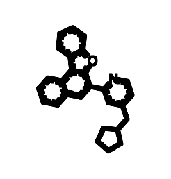 c1ccc2c(c1)cc(-c1cc(CC3CCCC3)ccn1)c1oc3ccccc3c12